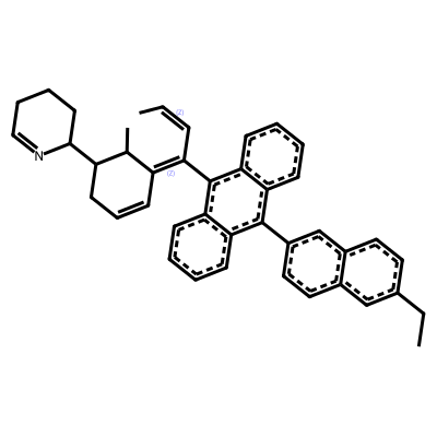 C/C=C\C(=C1\C=CCC(C2CCCC=N2)C1C)c1c2ccccc2c(-c2ccc3cc(CC)ccc3c2)c2ccccc12